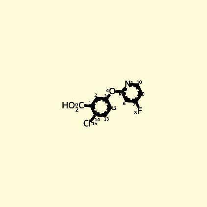 O=C(O)c1cc(Oc2cc(F)ccn2)ccc1Cl